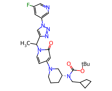 CC(c1cn(-c2cncc(F)c2)nn1)n1ccc(N2CCC[C@@H](N(CC3CCC3)C(=O)OC(C)(C)C)C2)cc1=O